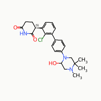 CN1CC(O)N(c2ccc(-c3cccc([C@@H]4CCC(=O)NC4=O)c3Cl)cc2)CC1(C)C